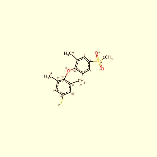 Cc1cc(S(C)(=O)=O)ccc1Oc1c(C)cc(F)cc1C